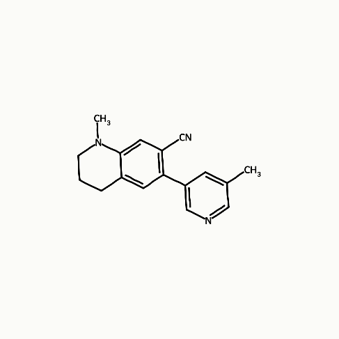 Cc1cncc(-c2cc3c(cc2C#N)N(C)CCC3)c1